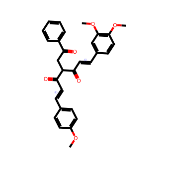 COc1ccc(/C=C/C(=O)C(CC(=O)c2ccccc2)C(=O)/C=C/c2ccc(OC)c(OC)c2)cc1